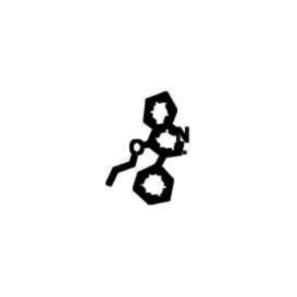 CCCOc1c(-c2ccccc2)[c]nc2ccccc12